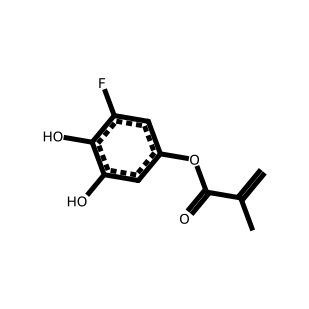 C=C(C)C(=O)Oc1cc(O)c(O)c(F)c1